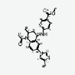 COC(=O)c1ccc(NC2CC(C)N(C(C)=O)c3ccc(-n4cnc(C)c4)cc32)nc1